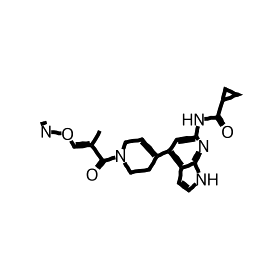 C=NO/C=C(\C)C(=O)N1CC=C(c2cc(NC(=O)C3CC3)nc3[nH]ccc23)CC1